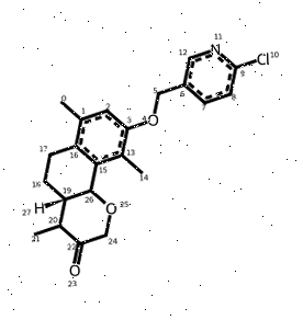 Cc1cc(OCc2ccc(Cl)nc2)c(C)c2c1CC[C@H]1C(C)C(=O)COC21